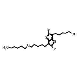 CCCCCCOCCCCCc1c(Br)sc2c(CCCCCO)c(Br)sc12